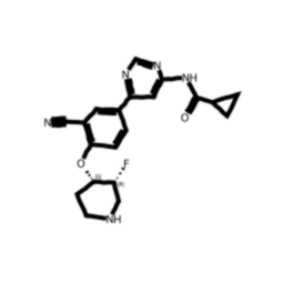 N#Cc1cc(-c2cc(NC(=O)C3CC3)ncn2)ccc1O[C@H]1CCNC[C@H]1F